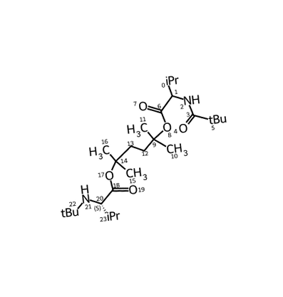 CC(C)C(NC(=O)C(C)(C)C)C(=O)OC(C)(C)CCC(C)(C)OC(=O)[C@@H](NC(C)(C)C)C(C)C